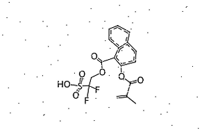 C=C(C)C(=O)Oc1ccc2ccccc2c1C(=O)OCC(F)(F)S(=O)(=O)O